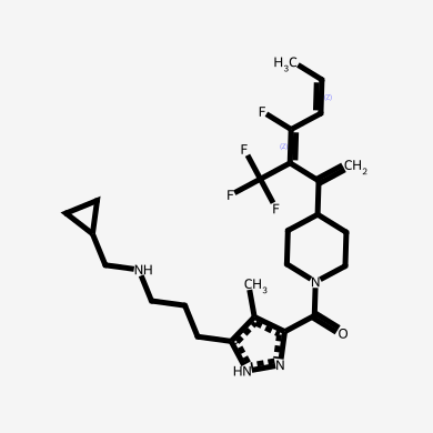 C=C(/C(=C(F)\C=C/C)C(F)(F)F)C1CCN(C(=O)c2n[nH]c(CCCNCC3CC3)c2C)CC1